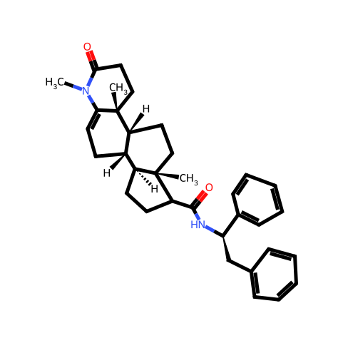 CN1C(=O)CC[C@@]2(C)C1=CC[C@@H]1[C@H]2CC[C@]2(C)C(C(=O)N[C@H](Cc3ccccc3)c3ccccc3)CC[C@@H]12